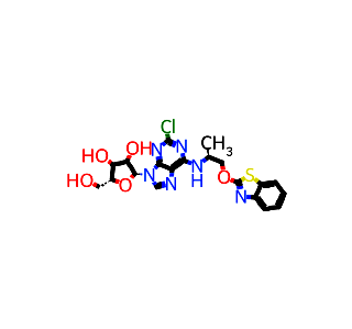 C[C@H](COc1nc2ccccc2s1)Nc1nc(Cl)nc2c1ncn2[C@@H]1O[C@H](CO)C(O)C1O